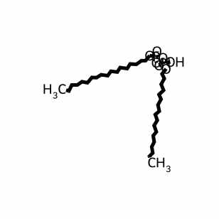 CCCCCCCCCCCCCCCCCCOP(=O)(O)OP(=O)(O)OCCCCCCCCCCCCCCCCCC